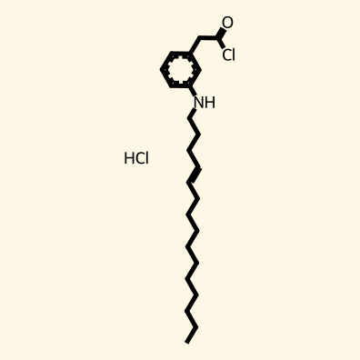 CCCCCCCCCCC=CCCCNc1cccc(CC(=O)Cl)c1.Cl